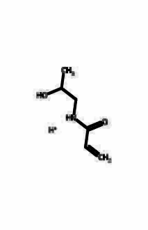 C=CC(=O)NCC(C)O.[H+]